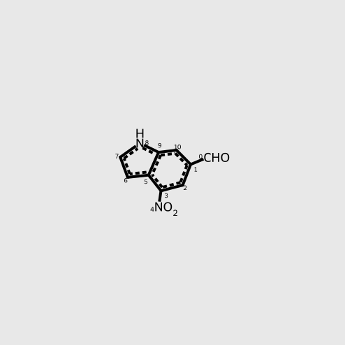 O=Cc1cc([N+](=O)[O-])c2cc[nH]c2c1